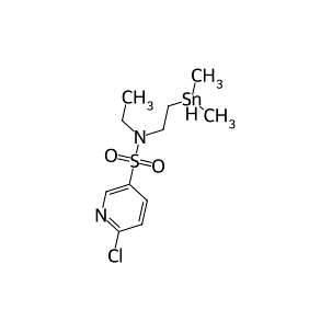 CCN(C[CH2][SnH]([CH3])[CH3])S(=O)(=O)c1ccc(Cl)nc1